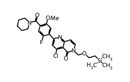 COc1cc(-c2cc(Cl)c3c(=O)n(COCC[Si](C)(C)C)ccc3n2)c(F)cc1C(=O)N1CCCCC1